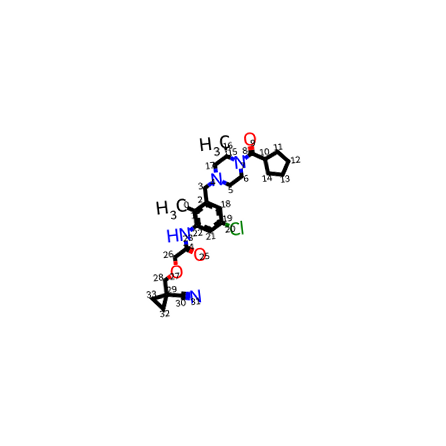 Cc1c(CN2CCN(C(=O)C3CCCC3)[C@@H](C)C2)cc(Cl)cc1NC(=O)COCC1(C#N)CC1